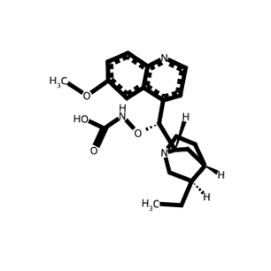 CC[C@H]1CN2CC[C@H]1C[C@H]2[C@H](ONC(=O)O)c1ccnc2ccc(OC)cc12